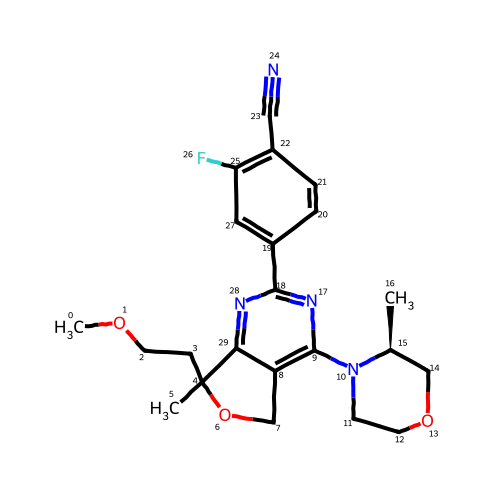 COCCC1(C)OCc2c(N3CCOC[C@@H]3C)nc(-c3ccc(C#N)c(F)c3)nc21